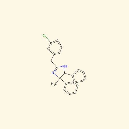 CC1(c2ccccc2)N=C(Cc2cccc(Cl)c2)NC1c1ccccc1